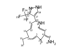 C=CC(=C)C(=C\N)/C=C/NC(/C=C/CCCC)c1c[nH]nc1C(F)(F)F